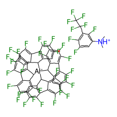 C[NH+](C)c1cc(F)c(F)c(C(F)(F)C(F)(F)F)c1F.Fc1cc2c(c(F)c1F)-c1c(F)c(F)c(F)c(F)c1[CH]2[Al-]([CH]1c2cc(F)c(F)c(F)c2-c2c(F)c(F)c(F)c(F)c21)([CH]1c2cc(F)c(F)c(F)c2-c2c(F)c(F)c(F)c(F)c21)[CH]1c2cc(F)c(F)c(F)c2-c2c(F)c(F)c(F)c(F)c21